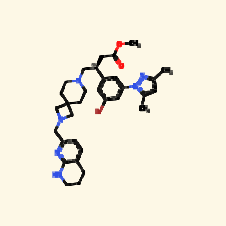 COC(=O)C[C@H](CN1CCC2(CC1)CN(Cc1ccc3c(n1)NCCC3)C2)c1cc(Br)cc(-n2nc(C)cc2C)c1